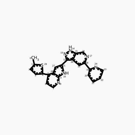 Cc1ccc(-c2ccnc3[nH]c(-c4n[nH]c5cnc(-c6ccccn6)cc45)cc23)s1